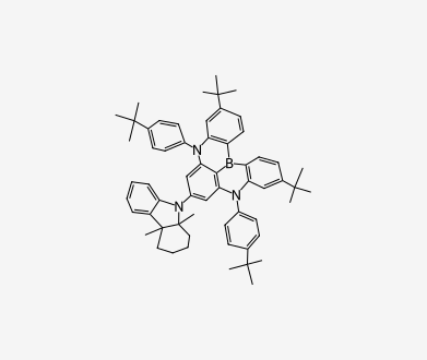 CC(C)(C)c1ccc(N2c3cc(C(C)(C)C)ccc3B3c4ccc(C(C)(C)C)cc4N(c4ccc(C(C)(C)C)cc4)c4cc(N5c6ccccc6C6(C)CCCCC56C)cc2c43)cc1